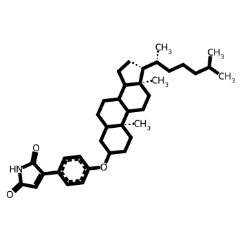 CC(C)CCC[C@@H](C)[C@H]1CCC2C3CCC4CC(Oc5ccc(C6=CC(=O)NC6=O)cc5)CC[C@]4(C)C3CC[C@@]21C